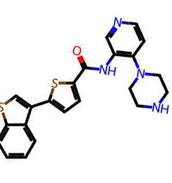 O=C(Nc1cnccc1N1CCNCC1)c1ccc(-c2csc3ccccc23)s1